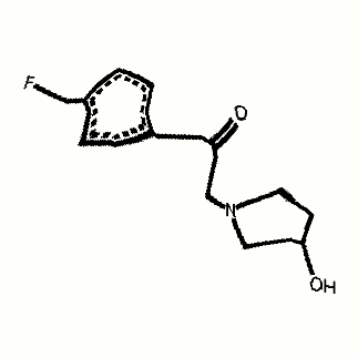 O=C(CN1CCC(O)C1)c1ccc(F)cc1